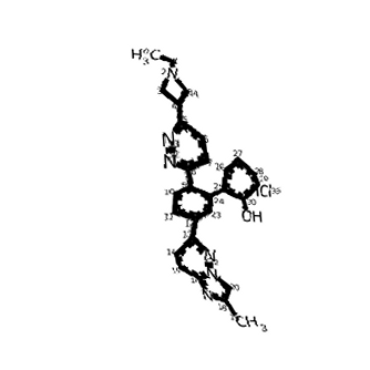 CCN1CC(c2ccc(-c3ccc(-c4ccc5nc(C)cn5n4)cc3-c3ccccc3O)nn2)C1.Cl